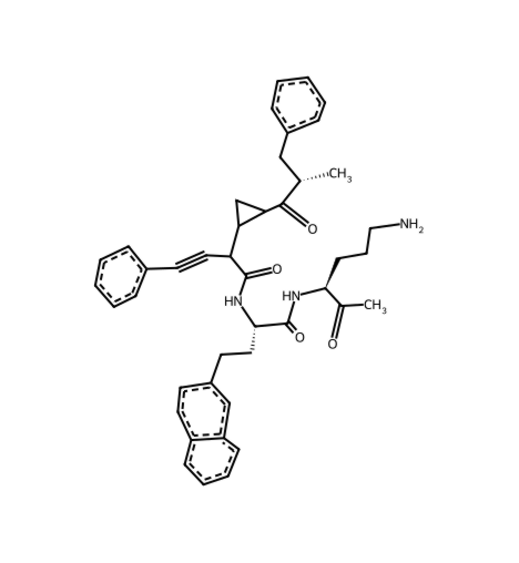 CC(=O)[C@H](CCCN)NC(=O)[C@H](CCc1ccc2ccccc2c1)NC(=O)C(C#Cc1ccccc1)C1CC1C(=O)[C@@H](C)Cc1ccccc1